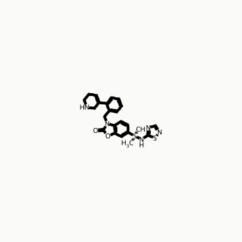 CS(C)(Nc1ncns1)c1ccc2c(c1)oc(=O)n2Cc1ccccc1C1=CCCNC1